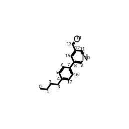 CCCCc1ccc(-c2cncc(C=O)c2)cc1